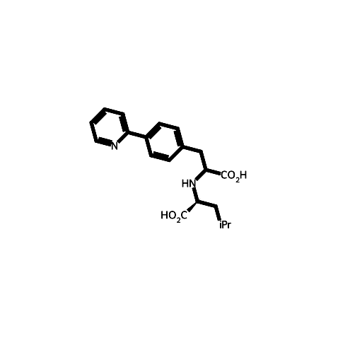 CC(C)C[C@H](NC(Cc1ccc(-c2ccccn2)cc1)C(=O)O)C(=O)O